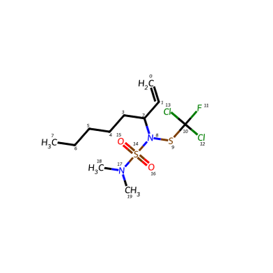 C=CC(CCCCC)N(SC(F)(Cl)Cl)S(=O)(=O)N(C)C